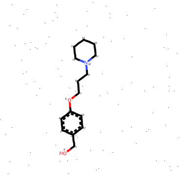 OCc1ccc(OCCCN2CCCCC2)cc1